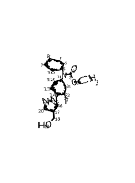 COC(=O)N(c1ccccc1)c1ccc(-n2cc(CO)cn2)c(F)c1